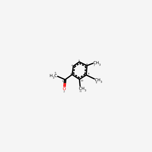 CC(=O)c1ccc(C)c(C)c1C